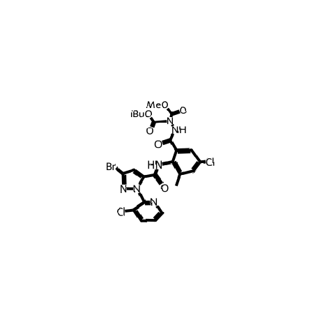 COC(=O)N(NC(=O)c1cc(Cl)cc(C)c1NC(=O)c1cc(Br)nn1-c1ncccc1Cl)C(=O)OCC(C)C